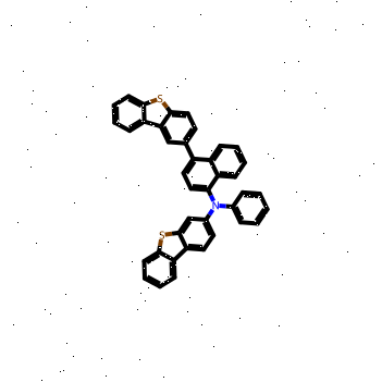 c1ccc(N(c2ccc3c(c2)sc2ccccc23)c2ccc(-c3ccc4sc5ccccc5c4c3)c3ccccc23)cc1